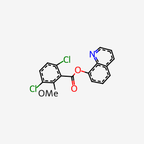 COc1c(Cl)ccc(Cl)c1C(=O)Oc1cccc2cccnc12